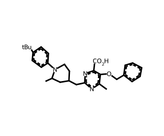 Cc1nc(CC2CCN(c3ccc(C(C)(C)C)cc3)C(C)C2)nc(C(=O)O)c1OCc1ccccc1